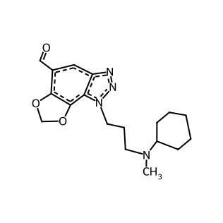 CN(CCCn1nnc2cc(C=O)c3c(c21)OCO3)C1CCCCC1